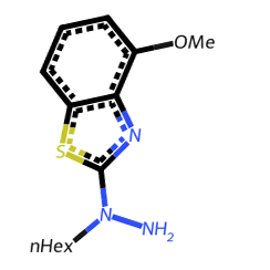 CCCCCCN(N)c1nc2c(OC)cccc2s1